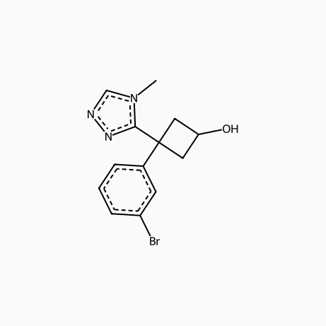 Cn1cnnc1C1(c2cccc(Br)c2)CC(O)C1